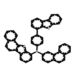 c1ccc2c(c1)ccc1ccc(N(c3ccc(-c4cccc5c4sc4ccccc45)cc3)c3cccc4c3sc3c5ccccc5ccc43)cc12